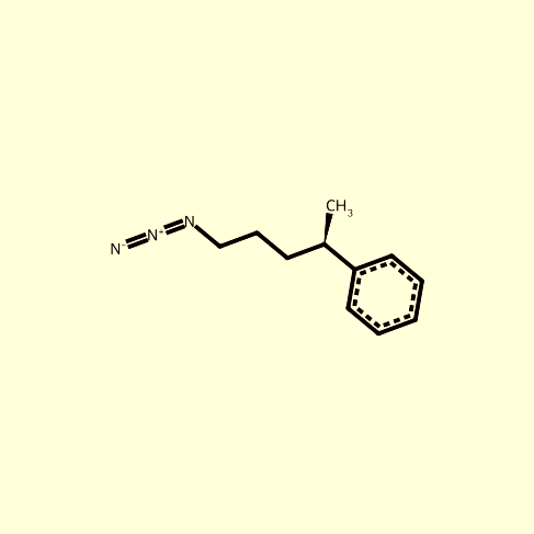 C[C@H](CCCN=[N+]=[N-])c1ccccc1